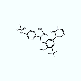 COc1c(CC(C(=O)O)c2ccc(NS(C)(=O)=O)cc2)cc(-c2ccc[nH]c2=O)cc1C(C)(C)C